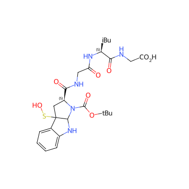 CCC(C)[C@H](NC(=O)CNC(=O)[C@@H]1CC2(SO)c3ccccc3NC2N1C(=O)OC(C)(C)C)C(=O)NCC(=O)O